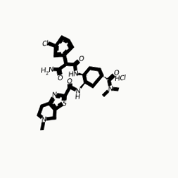 CN1CCc2nc(C(=O)N[C@@H]3C[C@@H](C(=O)N(C)C)CC[C@@H]3NC(=O)C(C(N)=O)c3cccc(Cl)c3)sc2C1.Cl